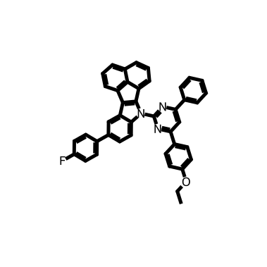 CCOc1ccc(-c2cc(-c3ccccc3)nc(-n3c4c(c5cc(-c6ccc(F)cc6)ccc53)-c3cccc5cccc-4c35)n2)cc1